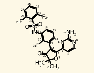 CC1(C)OC(c2ccnc(N)n2)=C(c2cccc(NS(=O)(=O)c3c(F)cccc3F)c2F)C1=O